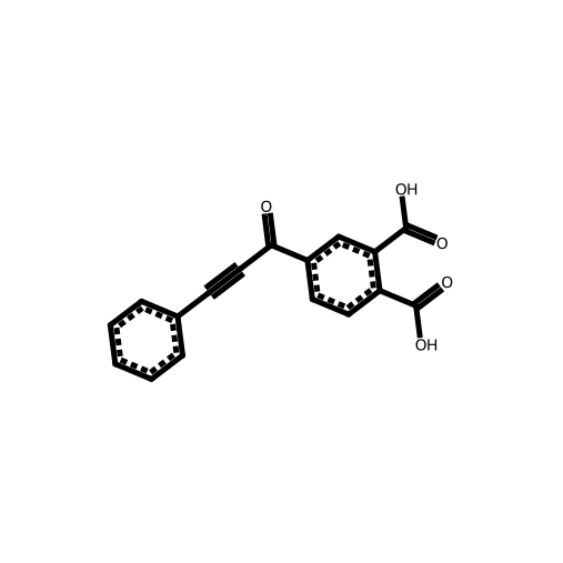 O=C(C#Cc1ccccc1)c1ccc(C(=O)O)c(C(=O)O)c1